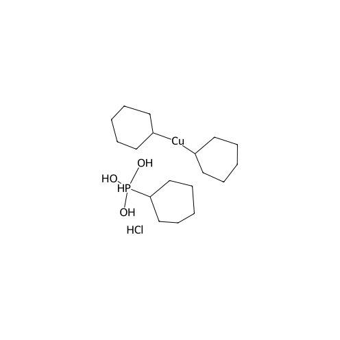 C1CC[CH]([Cu][CH]2CCCCC2)CC1.Cl.O[PH](O)(O)C1CCCCC1